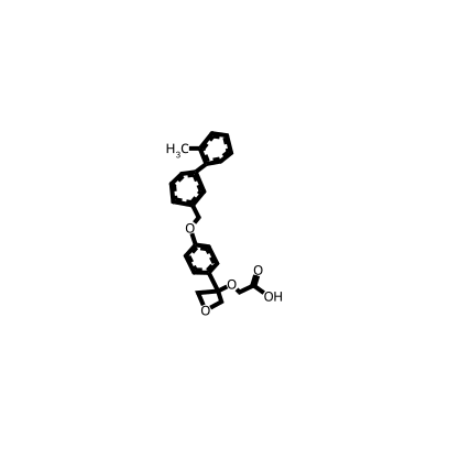 Cc1ccccc1-c1cccc(COc2ccc(C3(OCC(=O)O)COC3)cc2)c1